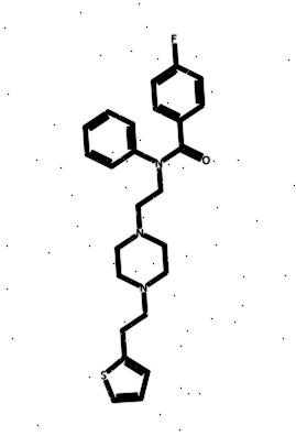 O=C(c1ccc(F)cc1)N(CCN1CCN(CCc2cccs2)CC1)c1ccccc1